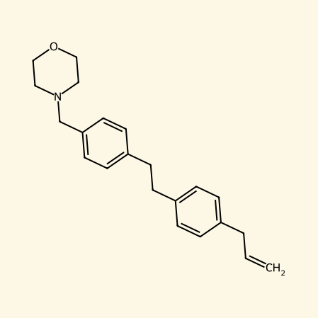 C=CCc1ccc(CCc2ccc(CN3CCOCC3)cc2)cc1